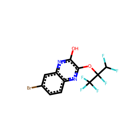 Oc1nc2cc(Br)ccc2nc1OC(F)(C(F)F)C(F)(F)F